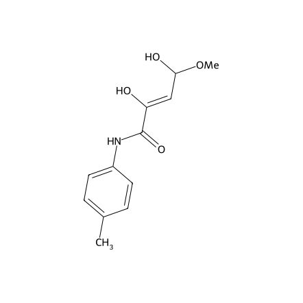 COC(O)/C=C(\O)C(=O)Nc1ccc(C)cc1